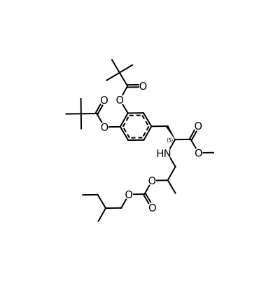 CCC(C)COC(=O)OC(C)CN[C@@H](Cc1ccc(OC(=O)C(C)(C)C)c(OC(=O)C(C)(C)C)c1)C(=O)OC